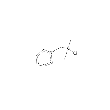 C[Si](C)(Cl)C[n+]1ccccc1